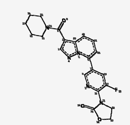 O=C(c1cnn2c(-c3cnc(N4CCOC4=O)c(F)c3)cccc12)N1CCCCC1